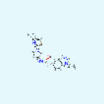 Cn1ncc2cc(CC(=O)N[C@@H]3CCN(c4nc(C(F)(F)F)cs4)C3)ccc21